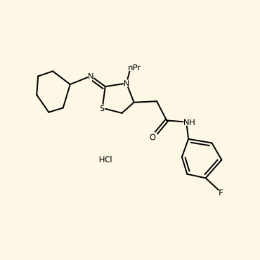 CCCN1C(=NC2CCCCC2)SCC1CC(=O)Nc1ccc(F)cc1.Cl